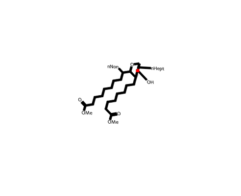 CCCCCCCCCC(CCCCCCCC(=O)OC)C1OC2OC(O)C1(CCCCCCCC(=O)OC)CC2CCCCCCC